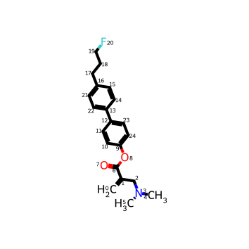 C=C(CN(C)C)C(=O)Oc1ccc(-c2ccc(CCCF)cc2)cc1